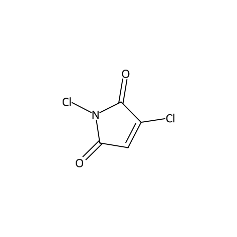 O=C1C=C(Cl)C(=O)N1Cl